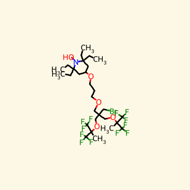 CCC1(CC)CC(OCCCOCC(CBr)(COC(C)(C(F)(F)F)C(F)(F)F)COC(C)(C(F)(F)F)C(F)(F)F)CC(CC)(CC)N1O